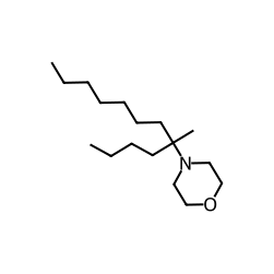 CCCCCCCC(C)(CCCC)N1CCOCC1